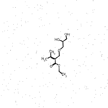 CCOC(=O)C(COCC(O)CO)=C(C)C